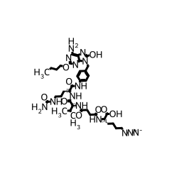 CCCCOc1nc(N)c2nc(O)n(Cc3ccc(NC(=O)[C@H](CCCNC(N)=O)NC(=O)[C@@H](NC(=O)CCC(=O)N[C@@H](CCCCN=[N+]=[N-])C(=O)O)C(C)C)cc3)c2n1